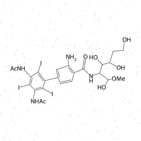 COC(O)C(NC(=O)c1ccc(-c2c(I)c(NC(C)=O)c(I)c(NC(C)=O)c2I)cc1N)C(O)C(O)CCO